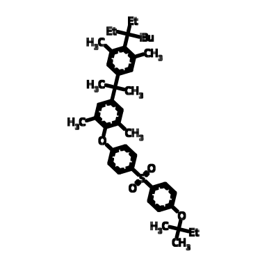 CCC(C)C(CC)(CC)c1c(C)cc(C(C)(C)c2cc(C)c(Oc3ccc(S(=O)(=O)c4ccc(OC(C)(C)CC)cc4)cc3)c(C)c2)cc1C